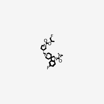 CC(CF)OC(=O)N1CC[C@@H](CN2CCC3(CC2)CN(C(=O)N(C)C)c2ccc(F)cc23)C1